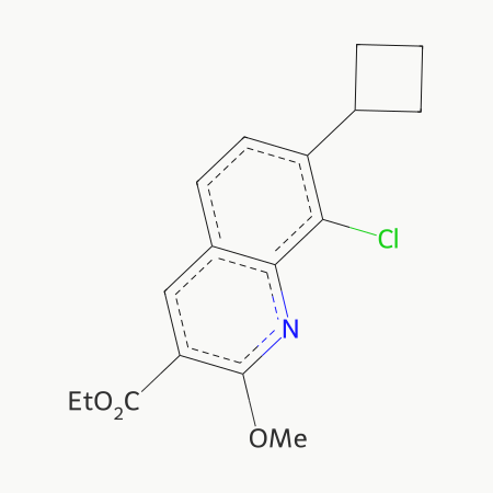 CCOC(=O)c1cc2ccc(C3CCC3)c(Cl)c2nc1OC